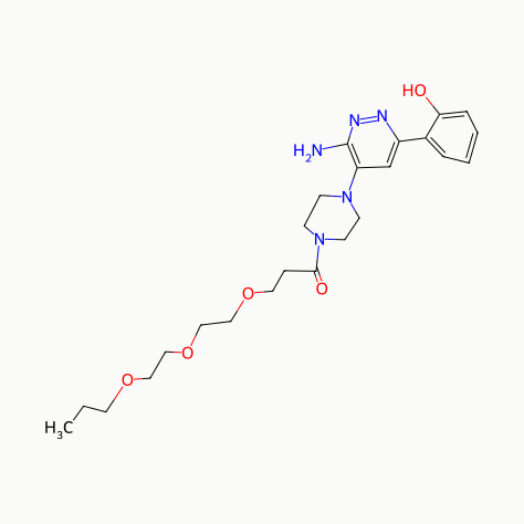 CCCOCCOCCOCCC(=O)N1CCN(c2cc(-c3ccccc3O)nnc2N)CC1